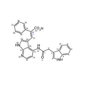 O=C(Cc1c[nH]c2ccccc12)Nc1ccnc2[nH]cc(/C=C(/C(=O)O)c3ccccc3)c12